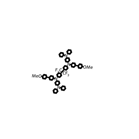 COc1ccc(-c2ccc(N(c3ccc(N(c4ccccc4)c4ccccc4)cc3)c3ccc(C(c4ccc(N(c5ccc(-c6ccc(OC)cc6)cc5)c5ccc(N(c6ccccc6)c6ccccc6)cc5)cc4)(C(F)(F)F)C(F)(F)F)cc3)cc2)cc1